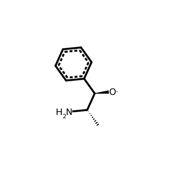 C[C@H](N)[C@H]([O])c1ccccc1